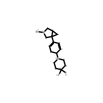 CCN1CC2CC2(C2=CCC(N3CCC(F)(F)CC3)C=C2)C1